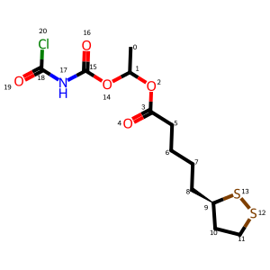 CC(OC(=O)CCCC[C@@H]1CCSS1)OC(=O)NC(=O)Cl